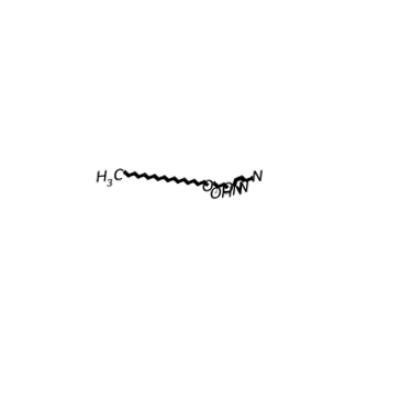 CCCCCCCCCCCCCCCCCCOC[C@@H](O)COc1ccc(C#N)nn1